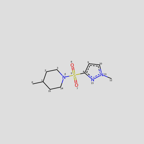 CC1CCN(S(=O)(=O)c2ccn(C)n2)CC1